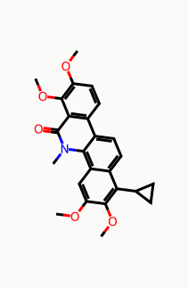 COc1cc2c(ccc3c4ccc(OC)c(OC)c4c(=O)n(C)c23)c(C2CC2)c1OC